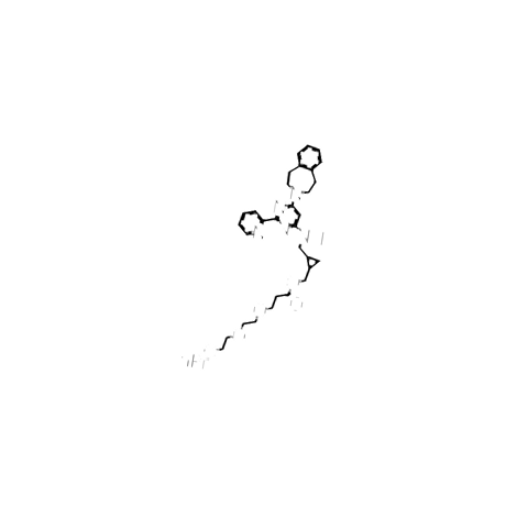 CCCOCCOCCOCCC(=O)OCC1CC1CNc1cc(N2CCc3ccccc3CC2)nc(-c2ccccn2)n1